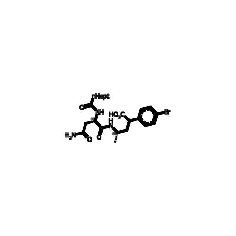 CCCCCCCC(=O)N[C@H](CC(N)=O)C(=O)N[C@@H](C)CC(C(=O)O)c1ccc(Br)cc1